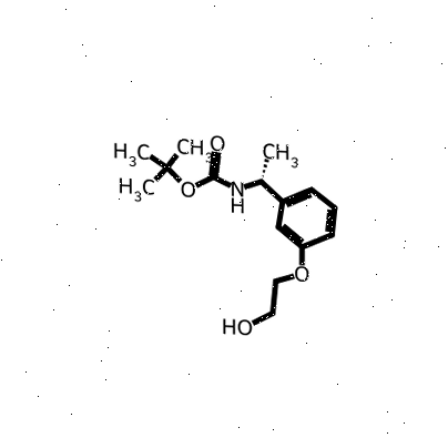 C[C@@H](NC(=O)OC(C)(C)C)c1cccc(OCCO)c1